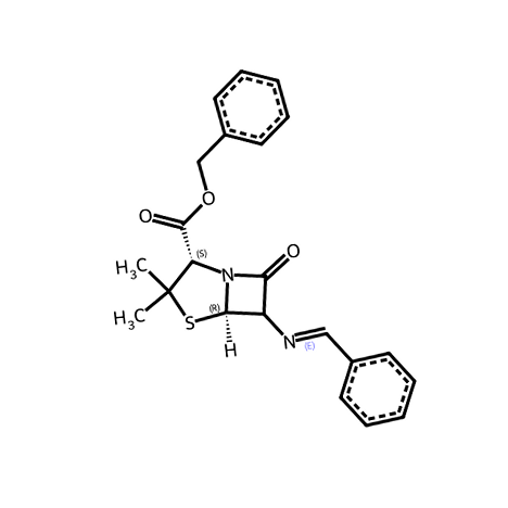 CC1(C)S[C@@H]2C(/N=C/c3ccccc3)C(=O)N2[C@H]1C(=O)OCc1ccccc1